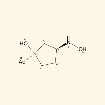 CC(=O)[C@@]1(O)CC[C@H](NO)C1